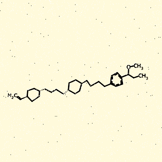 C=C[C@H]1CC[C@H](CCCC[C@H]2CC[C@H](CCCCc3ccc(C(CC)OC)cc3)CC2)CC1